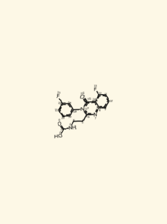 O=C(O)NCCc1nc2cccc(F)c2c(=O)n1-c1cccc(F)c1